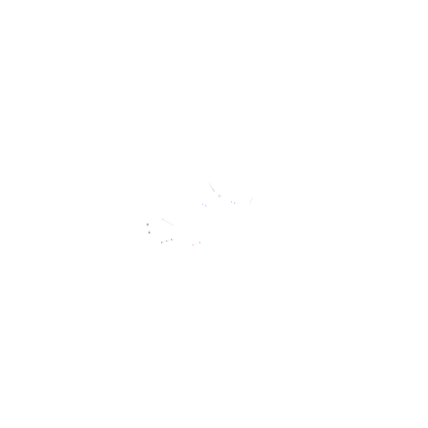 COC(=O)C1CN(C(=O)[C@@H](NC(=O)OC(C)(C)C)C(C)C)CC1c1ccccc1